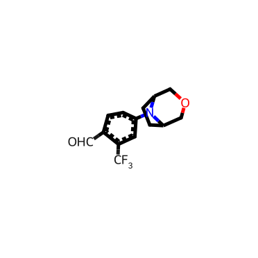 O=Cc1ccc(N2C3CCC2COC3)cc1C(F)(F)F